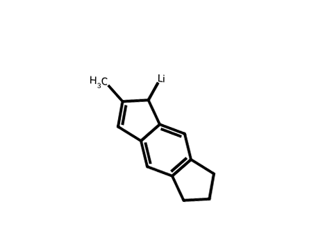 [Li][CH]1C(C)=Cc2cc3c(cc21)CCC3